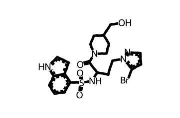 O=C(C(CCn1nccc1Br)NS(=O)(=O)c1cccc2[nH]ccc12)N1CCC(CO)CC1